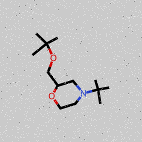 CC(C)(C)OCC1CN(C(C)(C)C)CCO1